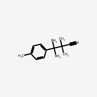 BC(B)(c1ccc(C)cc1)C(C)(C)C#N